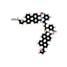 CCCCCCc1ccc(-c2ccc3c4ccc5c6c(ccc(c7cccc2c73)c64)C(=O)N(c2c(C(C)C)cccc2C(C)CCC(C)c2cccc(C(C)C)c2N2C(=O)c3ccc4c6cccc7c(-c8ccco8)ccc(c8ccc(c3c48)C2=O)c76)C5=O)s1